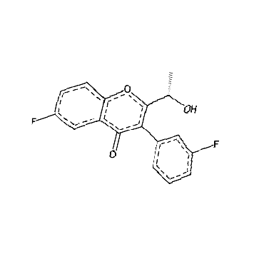 C[C@H](O)c1oc2ccc(F)cc2c(=O)c1-c1cccc(F)c1